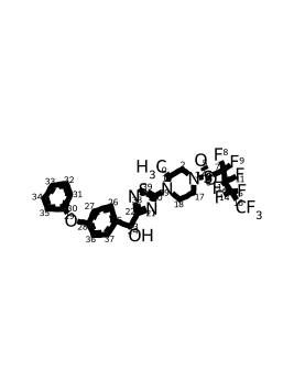 CC1CN(S(=O)(=O)C(F)(F)C(F)(F)C(F)(F)C(F)(F)F)CCN1c1nc(C(O)c2ccc(Oc3ccccc3)cc2)ns1